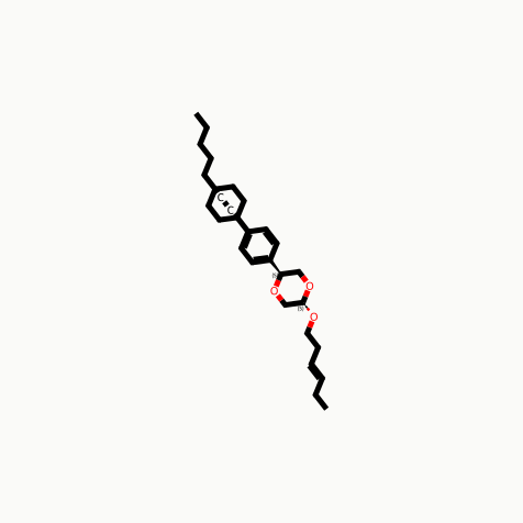 CCC=CCCO[C@@H]1CO[C@@H](c2ccc(C34CCC(CCCCC)(CC3)CC4)cc2)CO1